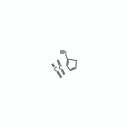 C=C=C.C=C=C.[Rh][C]1=CC=CC1